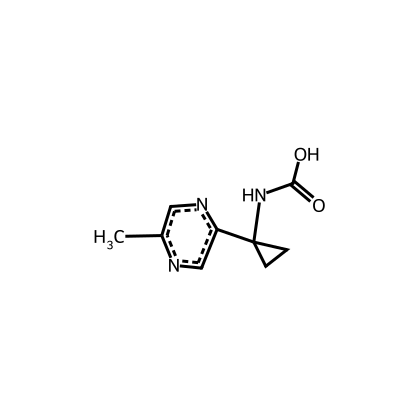 Cc1cnc(C2(NC(=O)O)CC2)cn1